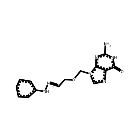 Nc1nc2c(ncn2COC/C=N/Nc2ccccc2)c(=O)[nH]1